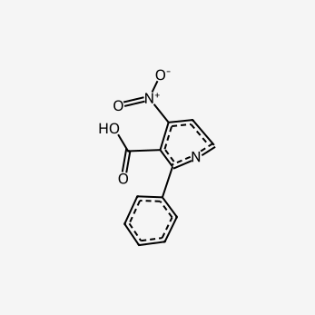 O=C(O)c1c([N+](=O)[O-])ccnc1-c1ccccc1